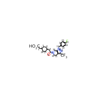 O=C(O)CC1CCC(CC(=O)N2CCc3c(C(F)(F)F)nn(Cc4ccc(F)cc4)c3C2)CC1